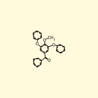 COc1c(Oc2ccccc2)cc(C(=O)c2ccccc2)cc1Oc1ccccc1